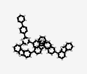 c1ccc(-c2ccc(-c3nc(-c4ccc5c(c4)oc4ccccc45)nc(-c4cccc5oc6ccc(-c7ccc8c(c7)c7ccccc7n8-c7ccc(-c8cccc9c8oc8ccccc89)cc7)cc6c45)n3)cc2)cc1